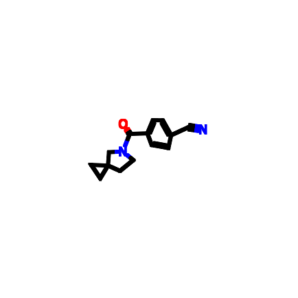 N#Cc1ccc(C(=O)N2CCC3(CC3)C2)cc1